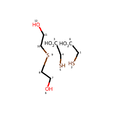 O=C(O)CS.O=C(O)CS.OCCSCCO